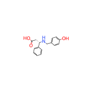 O=C(O)C[C@H](NCc1ccc(O)cc1)c1ccccc1